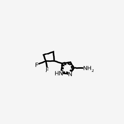 Nc1cc(C2CCC2(F)F)[nH]n1